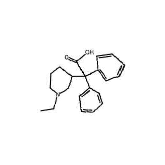 CCN1CCCC(C(C(=O)O)(c2ccccc2)c2ccccc2)C1